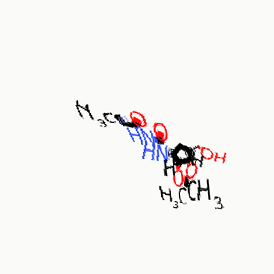 C/C=C/C(=O)NC(=O)N[C@@H]1C[C@H](CO)[C@H]2OC(C)(C)O[C@H]21